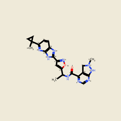 CC(NC(=O)c1ncnc2c1CN(C)N2)c1cc(-c2nc3ccc(C4(C)CC4)nc3[nH]2)no1